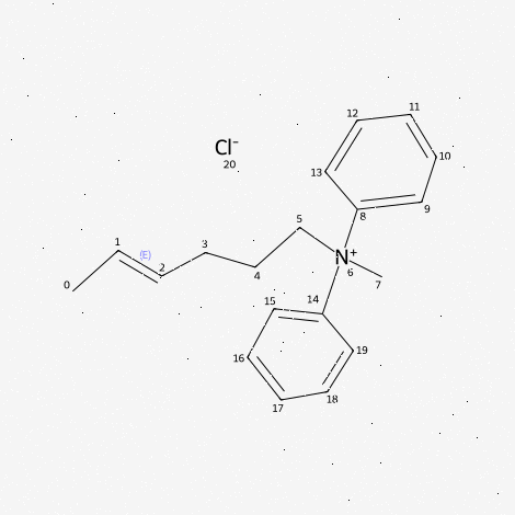 C/C=C/CCC[N+](C)(c1ccccc1)c1ccccc1.[Cl-]